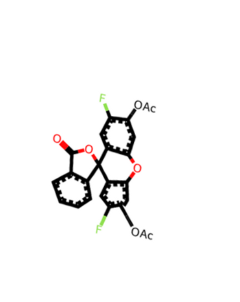 CC(=O)Oc1cc2c(cc1F)C1(OC(=O)c3ccccc31)c1cc(F)c(OC(C)=O)cc1O2